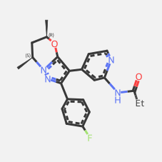 CCC(=O)Nc1cc(-c2c(-c3ccc(F)cc3)nn3c2O[C@H](C)C[C@@H]3C)ccn1